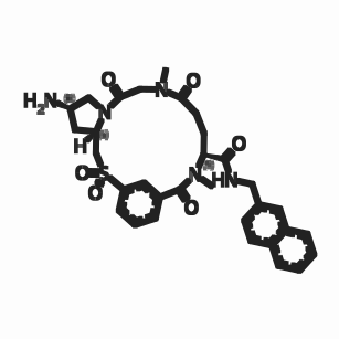 CN1CC(=O)N2C[C@H](N)C[C@H]2CS(=O)(=O)c2cccc(c2)C(=O)N(C)[C@H](C(=O)NCc2ccc3ccccc3c2)CCC1=O